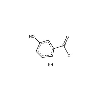 O=[N+]([O-])c1cccc(O)c1.[KH]